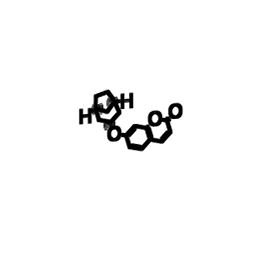 O=c1ccc2ccc(O[C@@H]3C[C@@H]4CC[C@@H](C4)C3)cc2o1